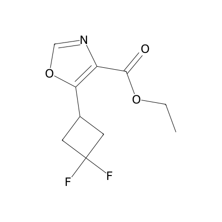 CCOC(=O)c1ncoc1C1CC(F)(F)C1